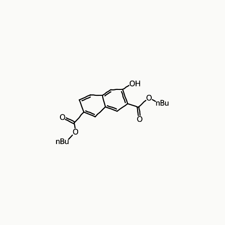 CCCCOC(=O)c1ccc2cc(O)c(C(=O)OCCCC)cc2c1